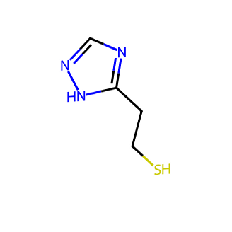 SCCc1ncn[nH]1